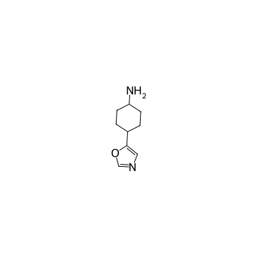 NC1CCC(c2cnco2)CC1